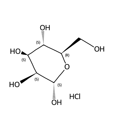 Cl.OC[C@H]1O[C@H](O)[C@@H](O)[C@@H](O)[C@@H]1O